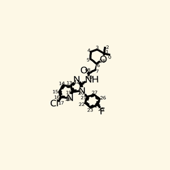 CC1(C)CCC[C@H](CC(=O)Nc2nc3ccc(Cl)nc3n2-c2ccc(F)cc2)O1